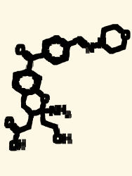 NC1(CCO)Oc2cc(C(=O)c3ccc(C=NN4CCOCC4)cc3)ccc2CC1CC(=O)O